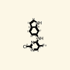 Fc1cnc(Cl)nc1Nc1ccc2cc[nH]c2c1